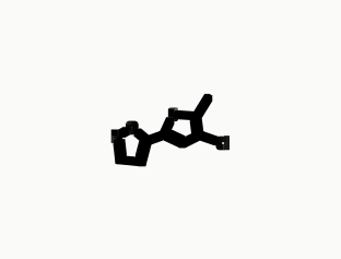 Cc1sc(-c2ccno2)cc1Cl